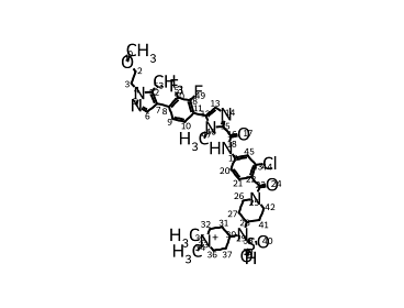 COCCn1ncc(-c2ccc(-c3cnc(C(=O)Nc4ccc(C(=O)N5CCC(N(C6CC[N+](C)(C)CC6)[SH](=O)=O)CC5)c(Cl)c4)n3C)c(F)c2F)c1C